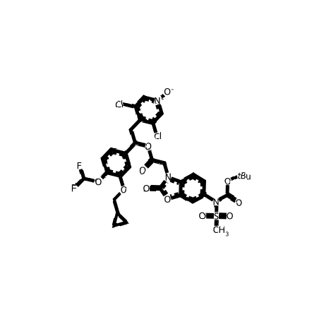 CC(C)(C)OC(=O)N(c1ccc2c(c1)oc(=O)n2CC(=O)OC(Cc1c(Cl)c[n+]([O-])cc1Cl)c1ccc(OC(F)F)c(OCC2CC2)c1)S(C)(=O)=O